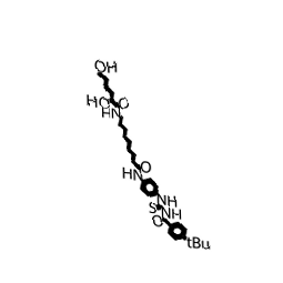 CC(C)(C)c1ccc(C(=O)NC(=S)Nc2ccc(NC(=O)CCCCCCCCNC(=O)C(O)CCCCO)cc2)cc1